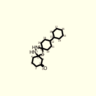 O=C1CCCC2(C1)NNC1(CCC(C3CCCCC3)CC1)S2